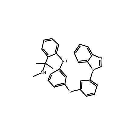 CNC(C)(C)c1ccccc1Nc1cccc(Oc2cccc(-n3cnc4ccccc43)c2)c1